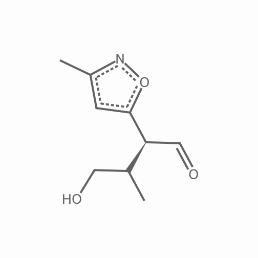 Cc1cc([C@@H](C=O)C(C)CO)on1